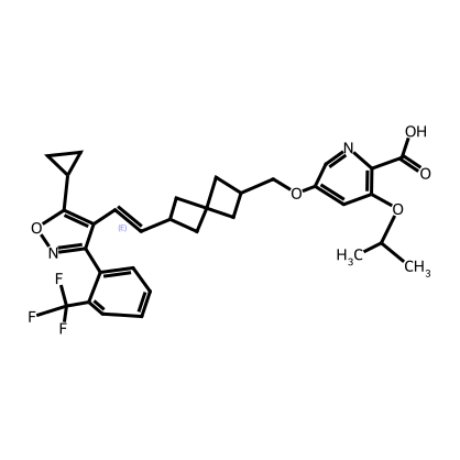 CC(C)Oc1cc(OCC2CC3(CC(/C=C/c4c(-c5ccccc5C(F)(F)F)noc4C4CC4)C3)C2)cnc1C(=O)O